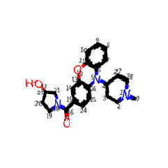 CN1CCC(N2c3ccccc3Oc3cc(C(=O)N4CCC(O)C4)ccc32)CC1